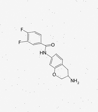 NC1COc2cc(NC(=O)c3ccc(F)c(F)c3)ccc2C1